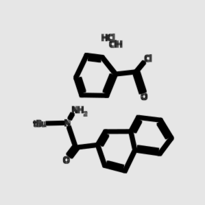 CC(C)(C)N(N)C(=O)c1ccc2ccccc2c1.Cl.Cl.O=C(Cl)c1ccccc1